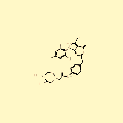 CC(C)c1[nH]n(-c2c(Cl)cc(Cl)cc2Cl)c2nc(Cc3ccc(NC(=O)CN4CCN(C)C(C)C4)cc3)nc(=O)c1-2